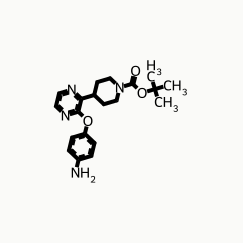 CC(C)(C)OC(=O)N1CCC(c2nccnc2Oc2ccc(N)cc2)CC1